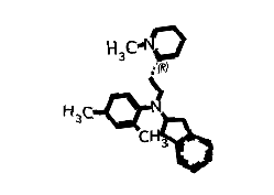 CC1=CC(C)CC=C1N(CC[C@H]1CCCCN1C)C1Cc2ccccc2C1